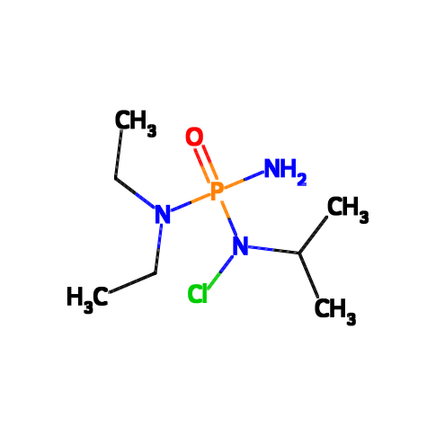 CCN(CC)P(N)(=O)N(Cl)C(C)C